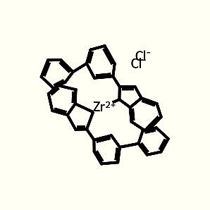 C1=C(c2cccc(-c3ccccc3)c2)[CH]([Zr+2][CH]2C(c3cccc(-c4ccccc4)c3)=Cc3ccccc32)c2ccccc21.[Cl-].[Cl-]